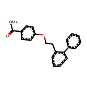 COC(=O)c1ccc(OCCc2ccccc2-c2ccccc2)cc1